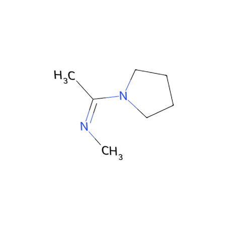 C/N=C(/C)N1CCCC1